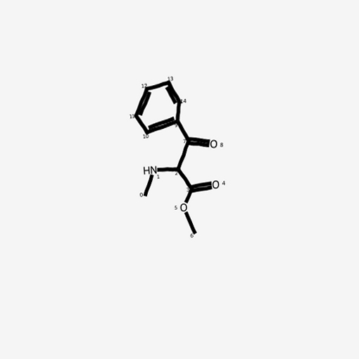 CNC(C(=O)OC)C(=O)c1ccccc1